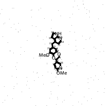 COc1ccc(C2COc3cc(Cc4ccnc5[nH]ccc45)cc(OC)c3O2)cn1